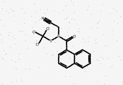 N#CCN(SC(Cl)(Cl)Cl)C(=O)c1cccc2ccccc12